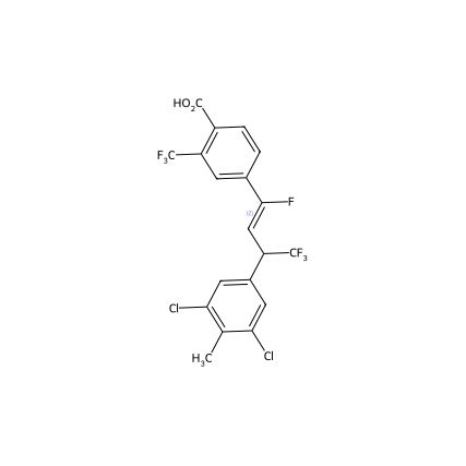 Cc1c(Cl)cc(C(/C=C(\F)c2ccc(C(=O)O)c(C(F)(F)F)c2)C(F)(F)F)cc1Cl